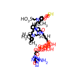 Cc1ccc2c(c1)C(C)(C)/C(=C/C=C1\CCCC(/C=C/C3=[N+](CCCS(=O)(=O)O)c4ccc(OOOS)cc4C3(C)C)=C1N1CCC(C(=O)NCCCCCCOP(=O)(O)OP(=O)(O)OP(=O)(O)OP(=O)(O)OC[C@H]3O[C@@H](n4cnc5c(=O)[nH]c(N)nc54)C[C@H]3O)CC1)N2CCCS(=O)(=O)O